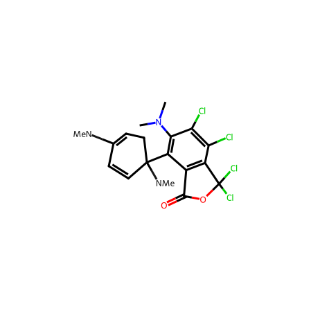 CNC1=CCC(NC)(c2c3c(c(Cl)c(Cl)c2N(C)C)C(Cl)(Cl)OC3=O)C=C1